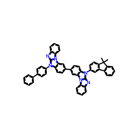 CC1(C)c2ccccc2-c2cc(-n3c4ccc(-c5ccc6c(c5)n5c7ccccc7nc5n6-c5ccc(-c6ccccc6)cc5)cc4n4c5ccccc5nc34)ccc21